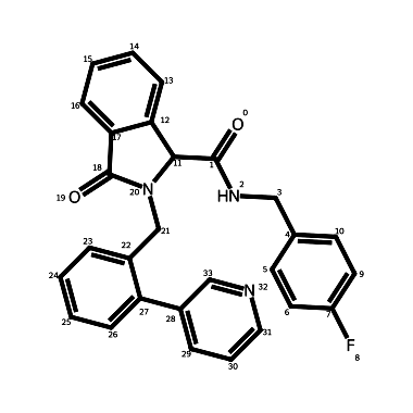 O=C(NCc1ccc(F)cc1)C1c2ccccc2C(=O)N1Cc1ccccc1-c1cccnc1